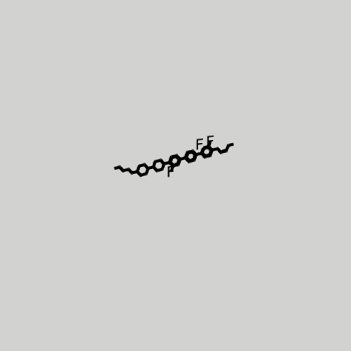 CC/C=C\Cc1ccc(-c2ccc(-c3ccc(C4CCC(C5CCC(CCCCC)CC5)CC4)c(F)c3)cc2)c(F)c1F